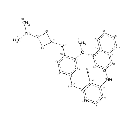 COc1cc(Nc2nccc(Nc3cnc4ccccc4c3)c2F)ccc1OC1CC(N(C)C)C1